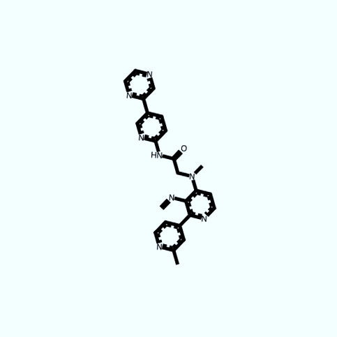 C=Nc1c(N(C)CC(=O)Nc2ccc(-c3cnccn3)cn2)ccnc1-c1ccnc(C)c1